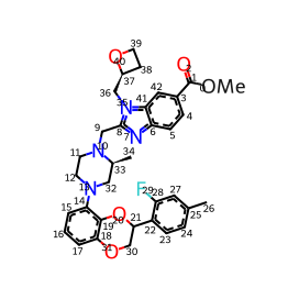 COC(=O)c1ccc2nc(CN3CCN(c4cccc5c4OC(c4ccc(C)cc4F)CO5)C[C@@H]3C)n(C[C@@H]3CCO3)c2c1